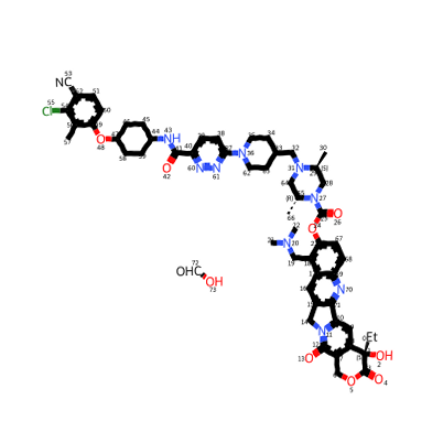 CC[C@@]1(O)C(=O)OCc2c1cc1n(c2=O)Cc2cc3c(CN(C)C)c(OC(=O)N4C[C@H](C)N(CC5CCN(c6ccc(C(=O)NC7CCC(Oc8ccc(C#N)c(Cl)c8C)CC7)nn6)CC5)C[C@H]4C)ccc3nc2-1.O=CO